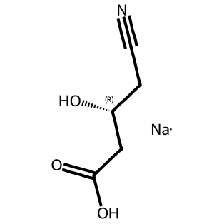 N#CC[C@@H](O)CC(=O)O.[Na]